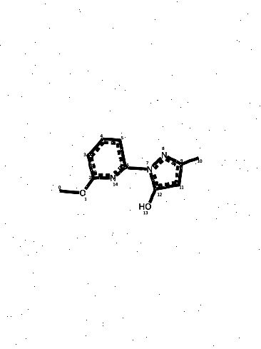 COc1cccc(-n2nc(C)cc2O)n1